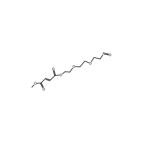 COC(=O)/C=C/C(=O)OCCOCCOCCN=O